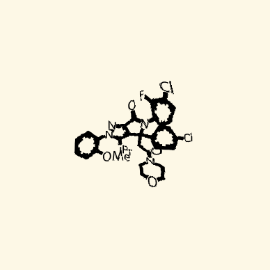 COc1ccccc1-n1nc2c(c1C(C)C)C(CC(=O)N1CCOCC1)(c1ccc(Cl)cc1)N(c1cccc(Cl)c1F)C2=O